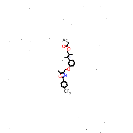 CC(=O)CC(=O)OC/C(C)=C(\C)c1cccc(OCc2nc(-c3ccc(C(F)(F)F)cc3)oc2C)c1